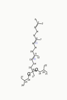 CC(C)=CCC/C(C)=C/CC/C(C)=C/CCC(C)(OCC(C)C)OCC(C)C